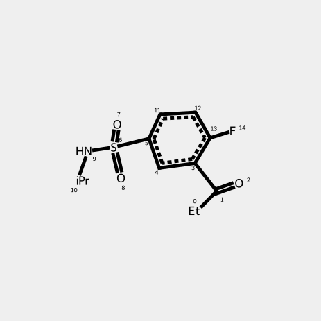 CCC(=O)c1cc(S(=O)(=O)NC(C)C)ccc1F